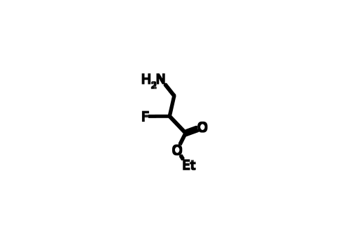 CCOC(=O)C(F)CN